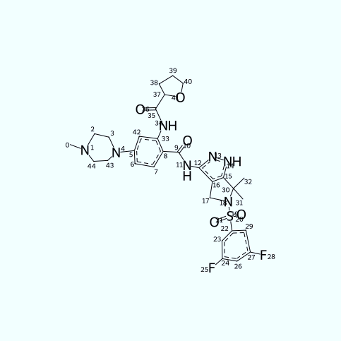 CN1CCN(c2ccc(C(=O)Nc3n[nH]c4c3CN(S(=O)(=O)c3cc(F)cc(F)c3)C4(C)C)c(NC(=O)C3CCCO3)c2)CC1